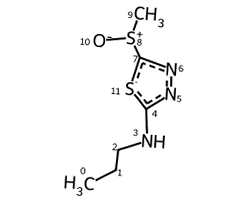 CCCNc1nnc([S+](C)[O-])s1